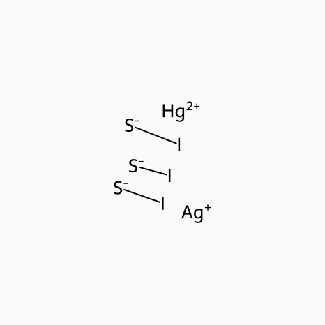 [Ag+].[Hg+2].[S-]I.[S-]I.[S-]I